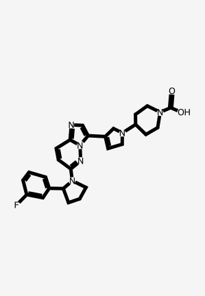 O=C(O)N1CCC(N2CC=C(c3cnc4ccc(N5CCCC5c5cccc(F)c5)nn34)C2)CC1